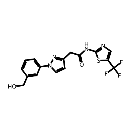 O=C(Cc1ccn(-c2cccc(CO)c2)n1)Nc1ncc(C(F)(F)F)s1